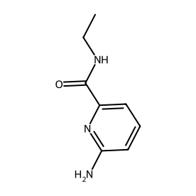 CCNC(=O)c1cccc(N)n1